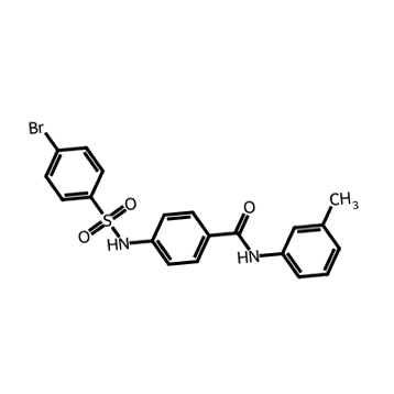 Cc1cccc(NC(=O)c2ccc(NS(=O)(=O)c3ccc(Br)cc3)cc2)c1